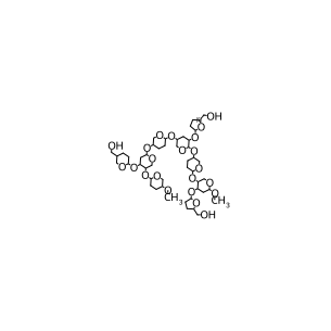 COC1CCC(OC2COC(OC3CCC(OC4COC(OC5CCC(OC6COC(OC)CC6OC6CCC(CO)O6)OC5)C(OC5CC[C@@H](CO)O5)C4)OC3)CC2OC2CCC(CO)CO2)OC1